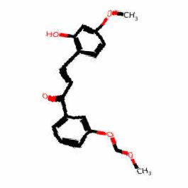 COCOc1cccc(C(=O)C=Cc2ccc(OC)cc2O)c1